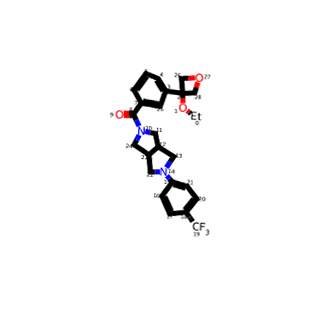 CCOC1(c2cccc(C(=O)N3CC4CN(c5ccc(C(F)(F)F)cc5)CC4C3)c2)COC1